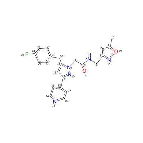 Cc1cc(CNC(=O)Cn2nc(-c3ccncc3)cc2Cc2ccc(F)cc2)no1